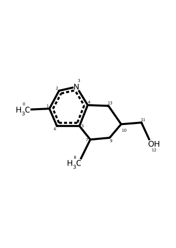 Cc1cnc2c(c1)C(C)CC(CO)C2